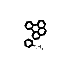 Cc1ccccc1.c1ccc2c(c1)c1cccc3ccc4cccc2c4c31